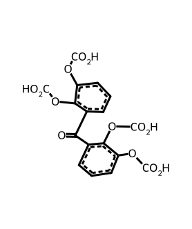 O=C(O)Oc1cccc(C(=O)c2cccc(OC(=O)O)c2OC(=O)O)c1OC(=O)O